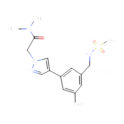 COc1cc(-c2cnn(CC(=O)N(C)C)c2)cc([C@@H](C)NS(=O)(=O)C(C)(C)C)c1